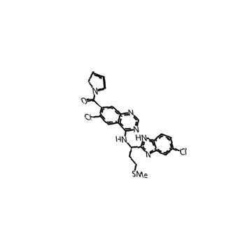 CSCCC(Nc1ncnc2cc(C(=O)N3CC=CC3)c(Cl)cc12)c1nc2cc(Cl)ccc2[nH]1